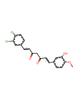 COc1ccc(/C=C/C(=O)CC(=O)/C=C/c2ccc(Cl)c(Cl)c2)cc1O